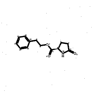 O=C1CC[C@H](C(=O)OCCc2ccccc2)N1